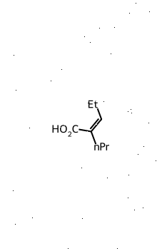 CCC=C(CCC)C(=O)O